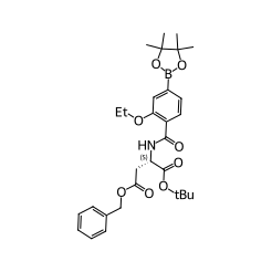 CCOc1cc(B2OC(C)(C)C(C)(C)O2)ccc1C(=O)N[C@@H](CC(=O)OCc1ccccc1)C(=O)OC(C)(C)C